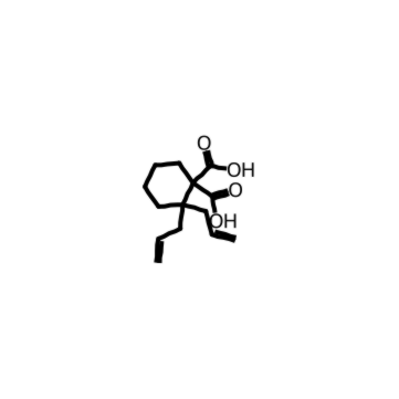 C=CCC1(CC=C)CCCCC1(C(=O)O)C(=O)O